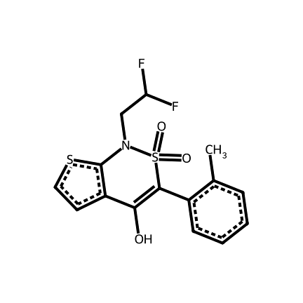 Cc1ccccc1C1=C(O)c2ccsc2N(CC(F)F)S1(=O)=O